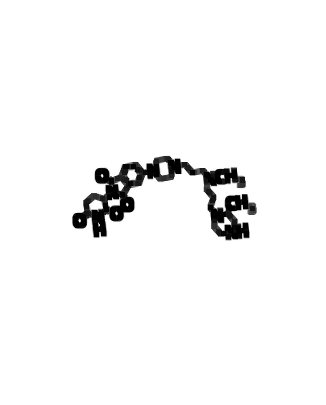 C[C@H]1CNCCN1CCCN(C)CCCN1CCN(c2ccc3c(c2)C(=O)N(C2CCC(=O)NC2=O)C3=O)CC1